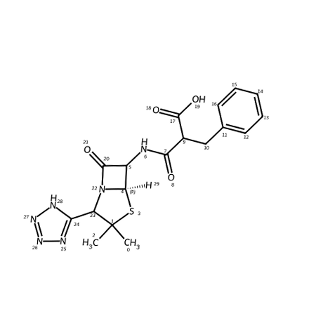 CC1(C)S[C@@H]2C(NC(=O)C(Cc3ccccc3)C(=O)O)C(=O)N2C1c1nnn[nH]1